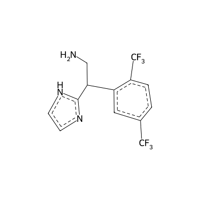 NCC(c1ncc[nH]1)c1cc(C(F)(F)F)ccc1C(F)(F)F